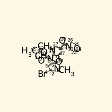 Cn1cc(Br)cc(N(C(=O)OC(C)(C)C)c2ccc(C(=O)N3CCOCC3)cn2)c1=O